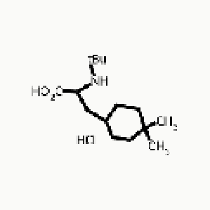 CC1(C)CCC(CC(NC(C)(C)C)C(=O)O)CC1.Cl